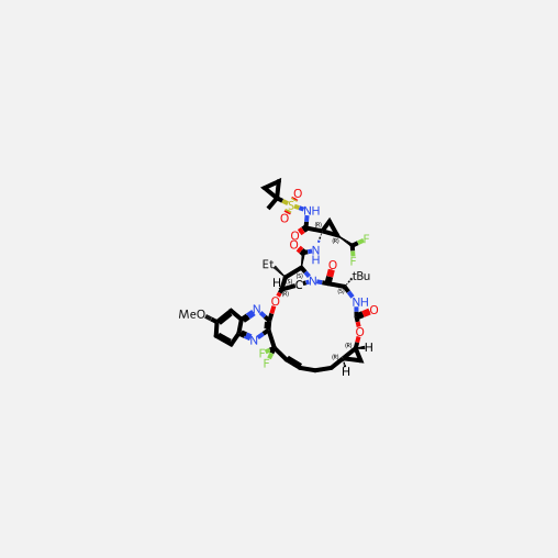 CC[C@@H]1[C@@H]2CN(C(=O)[C@H](C(C)(C)C)NC(=O)O[C@@H]3C[C@H]3CCC=CC(F)(F)c3nc4ccc(OC)cc4nc3O2)[C@@H]1C(=O)N[C@]1(C(=O)NS(=O)(=O)C2(C)CC2)C[C@H]1C(F)F